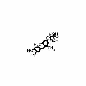 CCC(CC)(Oc1cc(C)c(Cc2ccc(O)c(C(C)C)c2)c(C)c1)P(=O)(O)O